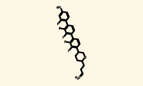 C=CCCC1CCC(c2ccc(-c3ccc(-c4ccc(CCC)cc4F)c(F)c3F)c(F)c2F)CO1